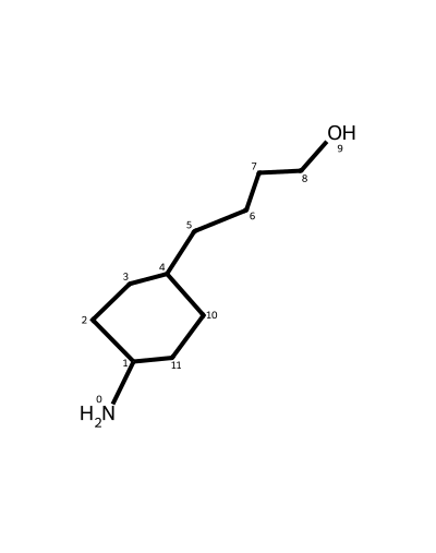 NC1CCC(CCCCO)CC1